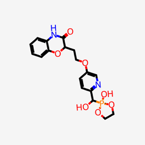 O=C1Nc2ccccc2OC1CCOc1ccc(C(O)[P]2(O)OCCO2)nc1